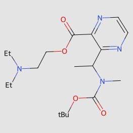 CCN(CC)CCOC(=O)c1nccnc1C(C)N(C)C(=O)OC(C)(C)C